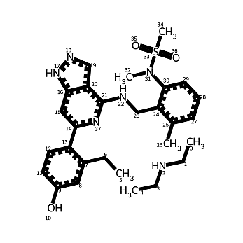 CCNCC.CCc1cc(O)ccc1-c1cc2[nH]ncc2c(NCc2c(C)cccc2N(C)S(C)(=O)=O)n1